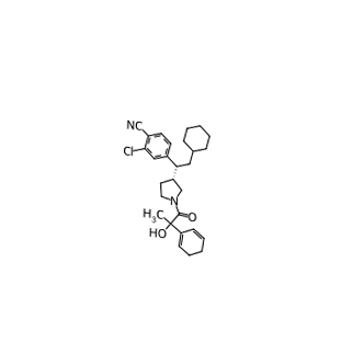 CC(O)(C(=O)N1CC[C@H](C(CC2CCCCC2)c2ccc(C#N)c(Cl)c2)C1)C1=CCCC=C1